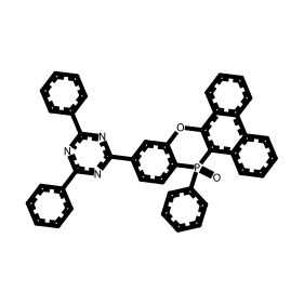 O=P1(c2ccccc2)c2ccc(-c3nc(-c4ccccc4)nc(-c4ccccc4)n3)cc2Oc2c1c1ccccc1c1ccccc21